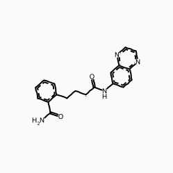 NC(=O)c1ccccc1CC[CH]C(=O)Nc1ccc2nccnc2c1